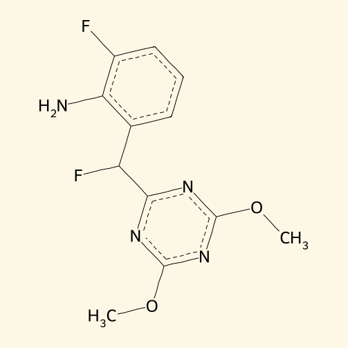 COc1nc(OC)nc(C(F)c2cccc(F)c2N)n1